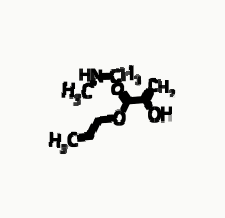 C=C(O)C(=O)OCCC.CNC